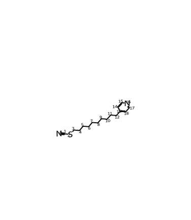 N#CSCCCCCCCCCCc1ccncc1